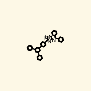 N=C(/N=c1/nc(-c2ccccc2)c2ccccc2[nH]1)c1ccc(-c2cc(-c3ccccc3)cc(-c3ccccc3)c2)cc1